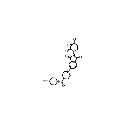 [2H]C1CCN(C(=O)C2CCN(c3ccc4c(c3)C(=O)N(C3CCC(=O)NC3=O)C4=O)CC2)CC1